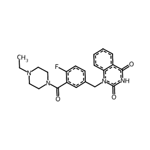 CCN1CCN(C(=O)c2cc(Cn3c(=O)[nH]c(=O)c4ccccc43)ccc2F)CC1